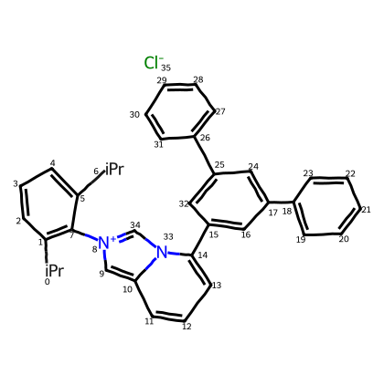 CC(C)c1cccc(C(C)C)c1-[n+]1cc2cccc(-c3cc(-c4ccccc4)cc(-c4ccccc4)c3)n2c1.[Cl-]